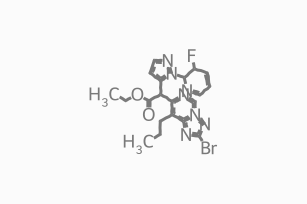 CCCc1c(C(C(=O)OCC)c2ccnn2C2N=CC=CC2F)ncn2nc(Br)nc12